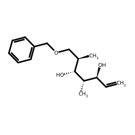 C=C[C@H](O)[C@H](C)[C@H](O)[C@H](C)COCc1ccccc1